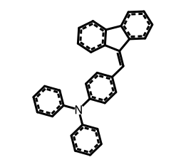 C(=C1c2ccccc2-c2ccccc21)c1ccc(N(c2ccccc2)c2ccccc2)cc1